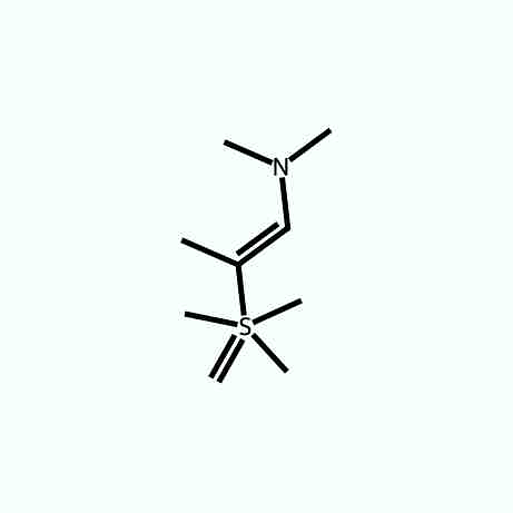 C=S(C)(C)(C)/C(C)=C/N(C)C